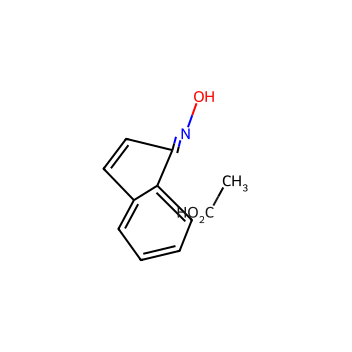 CC(=O)O.ON=C1C=Cc2ccccc21